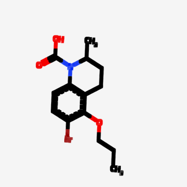 CCCOc1c(Br)ccc2c1CCC(C)N2C(=O)O